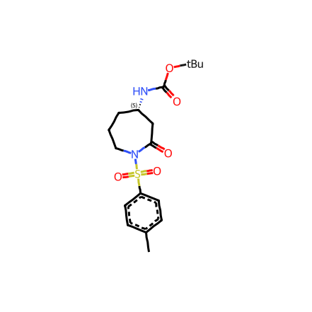 Cc1ccc(S(=O)(=O)N2CCC[C@H](NC(=O)OC(C)(C)C)CC2=O)cc1